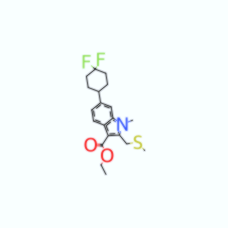 CCOC(=O)c1c(CSC)n(C)c2cc(C3CCC(F)(F)CC3)ccc12